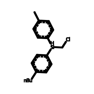 CCCCc1ccc([SiH](CCl)c2ccc(C)cc2)cc1